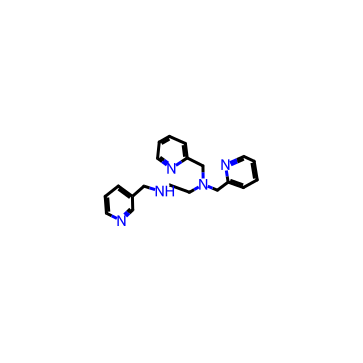 c1ccc(CN(CCNCc2cccnc2)Cc2ccccn2)nc1